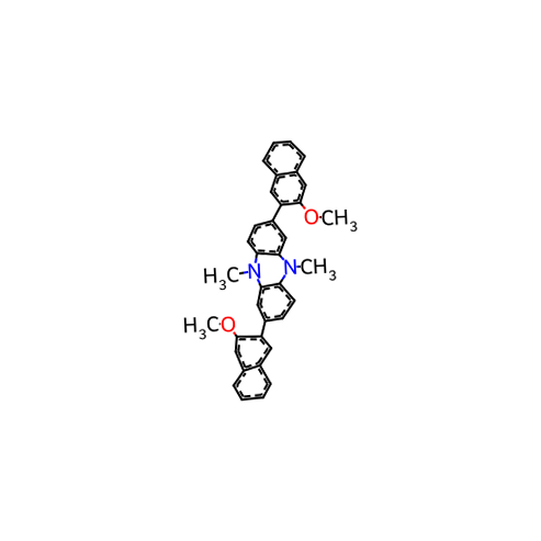 COc1cc2ccccc2cc1-c1ccc2c(c1)N(C)c1ccc(-c3cc4ccccc4cc3OC)cc1N2C